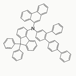 c1ccc(-c2ccc(-c3ccc(N(c4cccc5c4-c4ccccc4C5(c4ccccc4)c4ccccc4)c4cc5ccccc5c5ccccc45)cc3-c3ccccc3)cc2)cc1